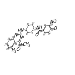 CN(C)c1nc(N[C@H]2CC[C@@H](NC(=O)c3ccc(Cl)c(N=O)c3)CC2)nc2ccccc12